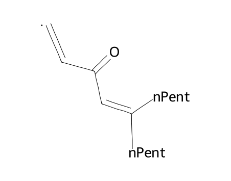 [CH]=CC(=O)C=C(CCCCC)CCCCC